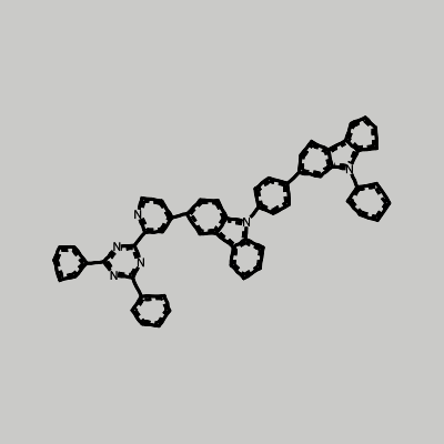 c1ccc(-c2nc(-c3ccccc3)nc(-c3cc(-c4ccc5c(c4)c4ccccc4n5-c4ccc(-c5ccc6c7ccccc7n(-c7ccccc7)c6c5)cc4)ccn3)n2)cc1